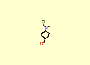 CN(CCl)c1ccc(C=O)cc1